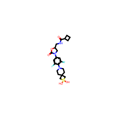 O=C(NCC1CN(c2cc(F)c(N3CCC4(CC3)CS(O)(O)C4)c(F)c2)C(=O)O1)C1CCC1